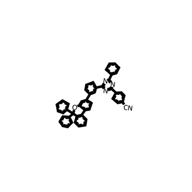 N#Cc1ccc(-c2nc(-c3ccccc3)nc(-c3cccc(-c4ccc5c(c4)OC(c4ccccc4)(c4ccccc4)c4ccccc4-5)c3)n2)cc1